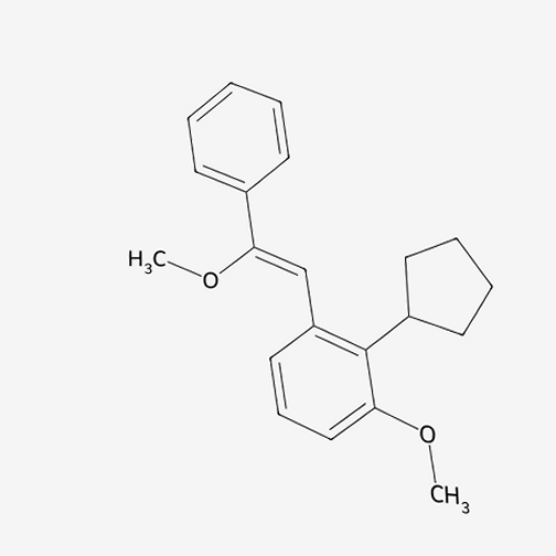 COC(=Cc1cccc(OC)c1C1CCCC1)c1ccccc1